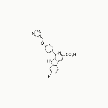 O=C(O)c1cc2c([nH]c3cc(F)ccc32)c(-c2ccc(OCn3cncn3)cc2)n1